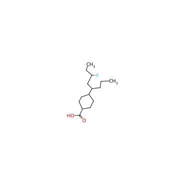 CCCC(CC(F)CC)C1CCC(C(=O)O)CC1